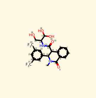 CN1C(=O)c2ccccc2C(C(=O)NC(CO)C(O)O)C1c1cc(C(F)(F)F)cc(C(F)(F)F)c1